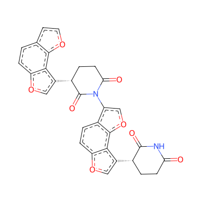 O=C1CC[C@H](c2coc3ccc4c(N5C(=O)CC[C@@H](c6coc7ccc8ccoc8c67)C5=O)coc4c23)C(=O)N1